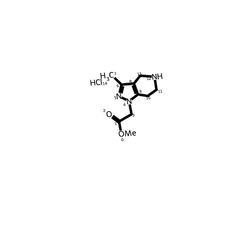 COC(=O)Cn1nc(C)c2c1CCNC2.Cl